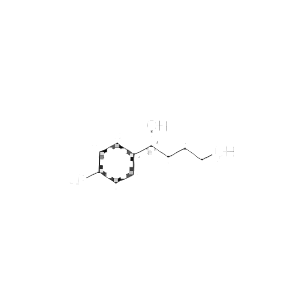 OCCC[C@@H](O)c1ccc(F)cc1